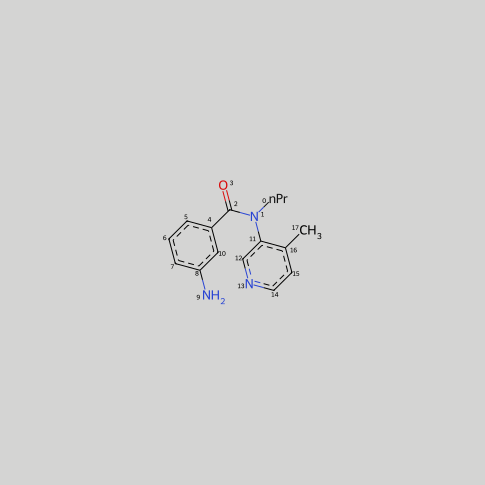 CCCN(C(=O)c1cccc(N)c1)c1cnccc1C